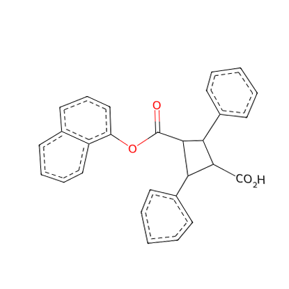 O=C(O)C1C(c2ccccc2)C(C(=O)Oc2cccc3ccccc23)C1c1ccccc1